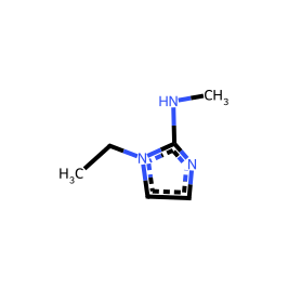 CCn1ccnc1NC